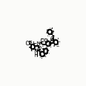 O=C(N[C@@H](Cc1ccc(-c2ccccc2OCc2ccccc2)cc1)C(=O)O)c1cc(Cl)ccc1NCc1cccc2ccccc12